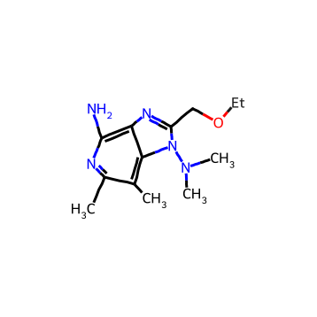 CCOCc1nc2c(N)nc(C)c(C)c2n1N(C)C